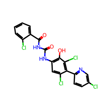 O=C(NC(=O)c1ccccc1Cl)Nc1cc(Cl)c(-c2ccc(Cl)cn2)c(Cl)c1O